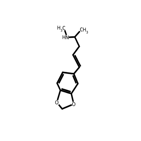 CNC(C)C/C=C/c1ccc2c(c1)OCO2